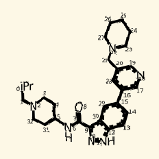 CC(C)CN1CCC(NC(=O)c2n[nH]c3ccc(-c4cncc(CN5CCCCC5)c4)cc23)CC1